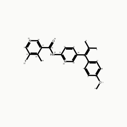 COc1ccc(C(=C(C)C)c2ccc(NC(=O)c3cncc(F)c3C)nc2)cc1